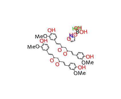 COc1cc(/C=C/C(=O)CC(=O)/C=C/c2ccc(O)c(OC)c2)ccc1O.COc1cc(/C=C/C(=O)CC(=O)/C=C/c2ccc(O)c(OC)c2)ccc1O.Cl.OB(O)O.c1cnoc1